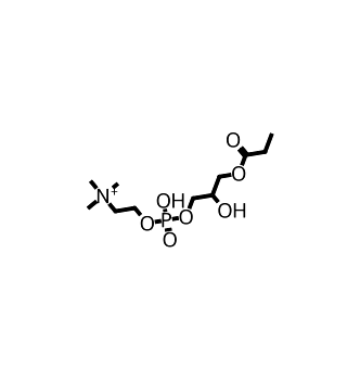 CCC(=O)OCC(O)COP(=O)(O)OCC[N+](C)(C)C